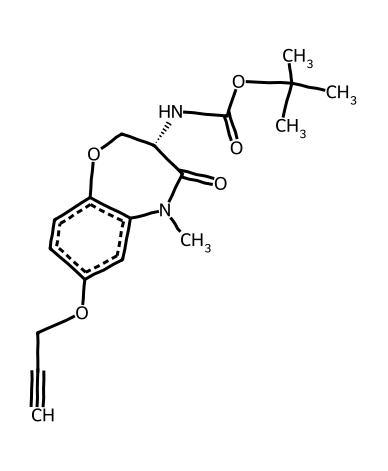 C#CCOc1ccc2c(c1)N(C)C(=O)[C@@H](NC(=O)OC(C)(C)C)CO2